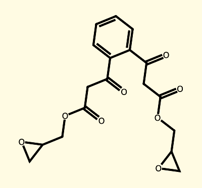 O=C(CC(=O)c1ccccc1C(=O)CC(=O)OCC1CO1)OCC1CO1